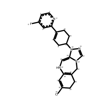 Fc1ccnc(C2=CCC(N3N=CN4CC5=C(C=C(Cl)CC5)NC=C43)CC2)c1